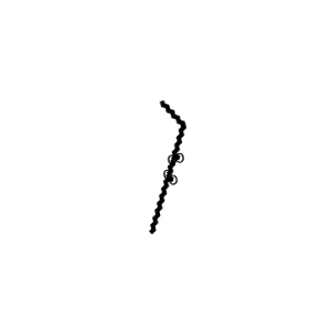 CCCCCCCC/C=C\CCCCCCCC(=O)OCCCOC(=O)CCCCCCCCCCCCCCC